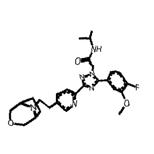 COc1cc(-c2nc(-c3ccc(CCN4C5CCC4COC5)cn3)nn2CC(=O)NC(C)C)ccc1F